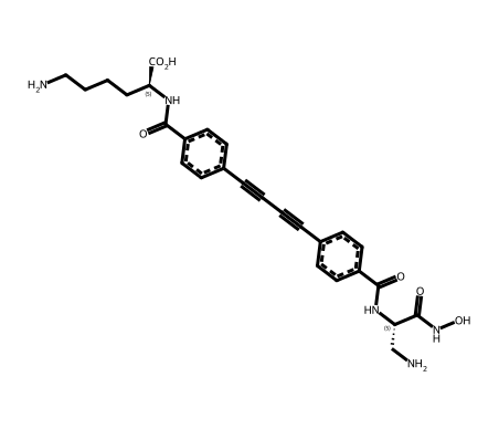 NCCCC[C@H](NC(=O)c1ccc(C#CC#Cc2ccc(C(=O)N[C@@H](CN)C(=O)NO)cc2)cc1)C(=O)O